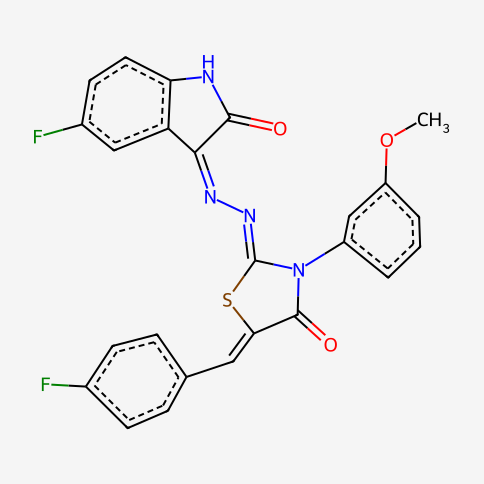 COc1cccc(N2C(=O)C(=Cc3ccc(F)cc3)SC2=NN=C2C(=O)Nc3ccc(F)cc32)c1